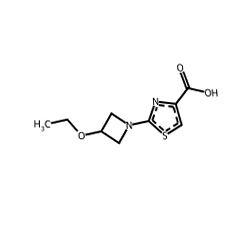 CCOC1CN(c2nc(C(=O)O)cs2)C1